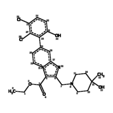 CCOC(=O)c1c(CN2CCC(C)(O)CC2)nc2cc(-c3c(O)ccc(Cl)c3Cl)ccn12